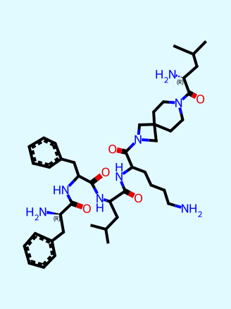 CC(C)CC(NC(=O)C(Cc1ccccc1)NC(=O)[C@H](N)Cc1ccccc1)C(=O)NC(CCCCN)C(=O)N1CC2(CCN(C(=O)[C@H](N)CC(C)C)CC2)C1